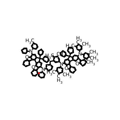 Cc1cccc(N(c2ccccc2)c2cc3c(c4c2oc2ccccc24)-c2c(cc(N(c4ccccc4)c4cccc(Cc5cc(N(c6cc(C)c(C)c(C)c6)c6cc7c(c8c6oc6ccccc68)-c6c(cc(N(c8cc(C)c(C)c(C)c8)c8cc(C)c(C)c(C)c8)c8c6oc6ccccc68)C7(c6ccccc6)c6ccccc6)cc(C)c5C)c4)c4c2oc2ccccc24)C3(c2ccccc2)c2ccccc2)c1